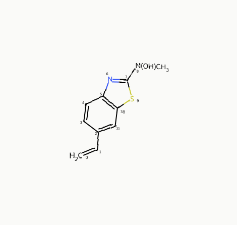 C=Cc1ccc2nc(N(C)O)sc2c1